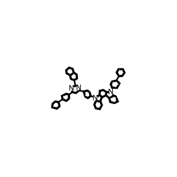 c1ccc(-c2ccc(-c3cc(-c4ccc(-n5c6ccccc6c6c7c8ccccc8n(-c8ccc(-c9ccccc9)cc8)c7ccc65)cc4)nc(-c4ccc5ccccc5c4)n3)cc2)cc1